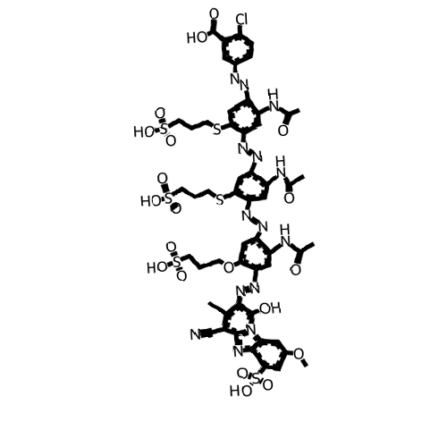 COc1cc(S(=O)(=O)O)c2nc3c(C#N)c(C)c(N=Nc4cc(NC(C)=O)c(N=Nc5cc(NC(C)=O)c(N=Nc6cc(NC(C)=O)c(N=Nc7ccc(Cl)c(C(=O)O)c7)cc6SCCCS(=O)(=O)O)cc5SCCCS(=O)(=O)O)cc4OCCCS(=O)(=O)O)c(O)n3c2c1